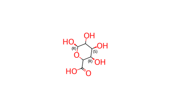 O=C(O)C1O[C@@H](O)C(O)[C@@H](O)[C@H]1O